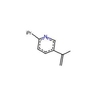 C=C(C)c1ccc(C(C)C)nc1